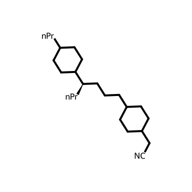 CCCC1CCC([C@H](CCC)CCCC2CCC(CC#N)CC2)CC1